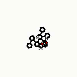 c1ccc(-c2ccccc2-c2ccc3[se]c4ccccc4c3c2-c2ncc(-c3ccccc3)c(-c3ccccn3)c2-c2ccnnn2)cc1